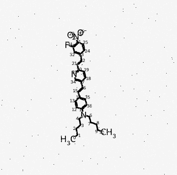 CCCCCN(CCCCC)c1ccc(C=Cc2ccc(C=Cc3ccc([N+](=O)[O-])c(F)c3)nc2)cc1